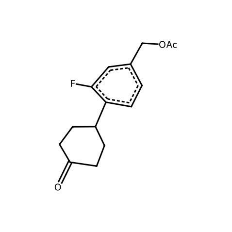 CC(=O)OCc1ccc(C2CCC(=O)CC2)c(F)c1